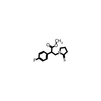 COC(=O)C(CN1CCCC1=S)c1ccc(F)cc1